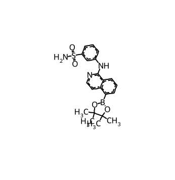 CC1(C)OB(c2cccc3c(Nc4cccc(S(N)(=O)=O)c4)nccc23)OC1(C)C